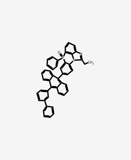 CCc1nc2cccc3c2n1-c1ccc(-c2c4ccccc4c(-c4cccc(-c5ccccc5)c4)c4ccccc24)cc1P3(=O)c1ccccc1